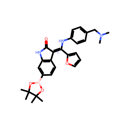 CN(C)Cc1ccc(N/C(=C2\C(=O)Nc3cc(B4OC(C)(C)C(C)(C)O4)ccc32)c2ccco2)cc1